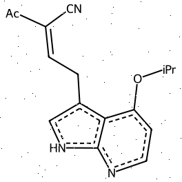 CC(=O)C(C#N)=CCc1c[nH]c2nccc(OC(C)C)c12